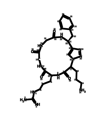 N=C(N)NCCC[C@@H]1NC(=O)C(CCCN)n2cc(nn2)[C@H](Cc2ccccc2)NC(=O)CNC(=O)CNC1=O